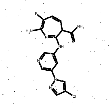 C=C(N)C1C=CC(F)=C(N)N=C1Nc1cncc(-n2cc(Cl)cn2)c1